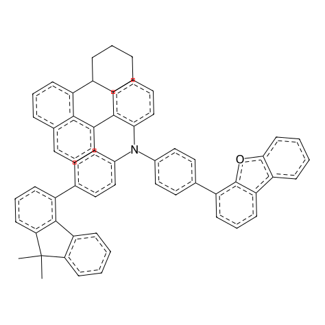 CC1(C)c2ccccc2-c2c(-c3ccc(N(c4ccc(-c5cccc6c5oc5ccccc56)cc4)c4ccccc4-c4cccc5cccc(C6CCCCC6)c45)cc3)cccc21